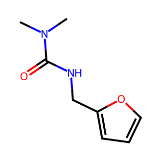 CN(C)C(=O)NCc1ccco1